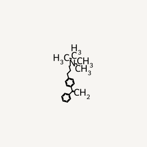 C=C(c1ccccc1)c1ccc(CCCN(C(C)C)C(C)C)cc1